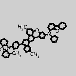 Cc1ccc2c(-c3ccc(N(c4ccccc4C)c4ccccc4C)cc3)cc3c4cc(C)cc5c4c(cc3c2c1)-c1ccc(N(c2ccccc2)c2cccc3c2oc2ccccc23)cc1O5